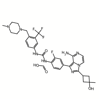 CN1CCN(Cc2ccc(NC(=O)Nc3ccc(-c4nc(C5CC(C)(O)C5)n5ccnc(N)c45)cc3F)cc2C(F)(F)F)CC1.O=CO